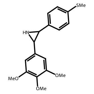 COc1cc(C2NC2c2ccc(SC)cc2)cc(OC)c1OC